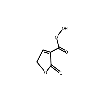 O=C(OO)C1=CCOC1=O